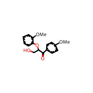 COc1ccc(C(=O)C(CO)Oc2ccccc2OC)cc1